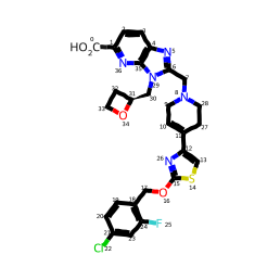 O=C(O)c1ccc2nc(CN3CC=C(c4csc(OCc5ccc(Cl)cc5F)n4)CC3)n(C[C@@H]3CCO3)c2n1